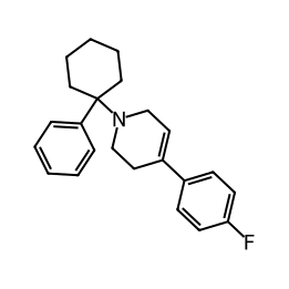 Fc1ccc(C2=CCN(C3(c4ccccc4)CCCCC3)CC2)cc1